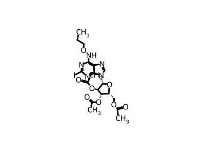 CCCONc1nc(I)nc2c1ncn2[C@@H]1O[C@H](COC(C)=O)[C@H](OC(C)=O)[C@H]1OC(C)=O